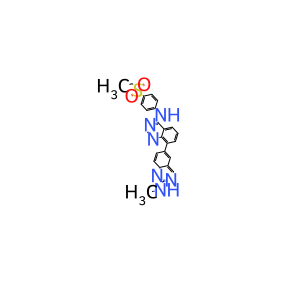 CCS(=O)(=O)c1ccc(Nc2ncnc3c(-c4ccc5nc(NC)ncc5c4)cccc23)cc1